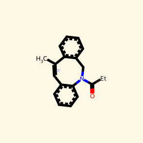 CCC(=O)N1Cc2ccccc2/C(C)=C\c2ccccc21